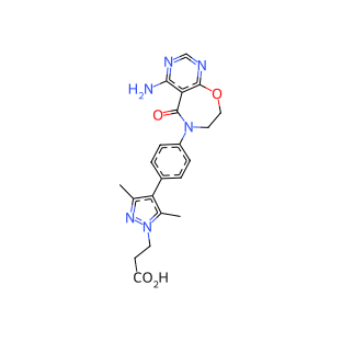 Cc1nn(CCC(=O)O)c(C)c1-c1ccc(N2CCOc3ncnc(N)c3C2=O)cc1